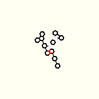 c1ccc(-c2ccc(-c3ccc(N(c4ccc(-n5c6ccccc6c6ccccc65)cc4)c4cc(-c5cc6ccccc6c6ccccc56)ccc4-c4ccccc4)cc3)cc2)cc1